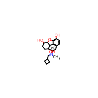 CCC[C@@]12c3c4ccc(O)c3OC1[C@H](O)CCC2(O)C(N(C)CC1CCC1)C4